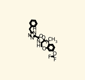 CN1C(=O)[C@@H](NC(=O)c2nnc(Cc3ccccc3)[nH]2)COc2cc(OC(F)F)ccc21